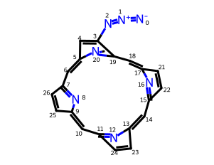 [N-]=[N+]=NC1=CC2=CC3=NC(=CC4=NC(=CC5=NC(=CC1=N2)C=C5)C=C4)C=C3